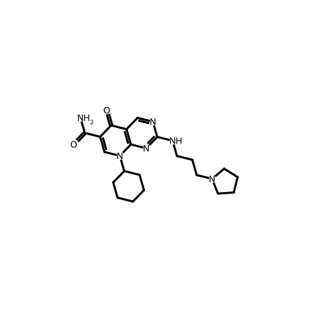 NC(=O)c1cn(C2CCCCC2)c2nc(NCCCN3CCCC3)ncc2c1=O